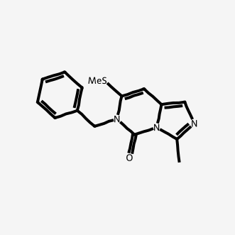 CSc1cc2cnc(C)n2c(=O)n1Cc1ccccc1